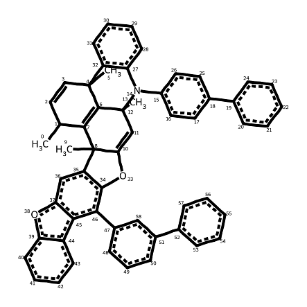 CC1C=CC2(C)C3=C1C1(C)C(=CC3(C)N(c3ccc(-c4ccccc4)cc3)c3ccccc32)Oc2c1cc1oc3ccccc3c1c2-c1cccc(-c2ccccc2)c1